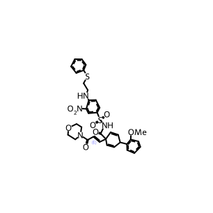 COc1ccccc1C1C=CC(/C=C/C(=O)N2CCOCC2)(C(=O)NS(=O)(=O)c2ccc(NCCSc3ccccc3)c([N+](=O)[O-])c2)C=C1